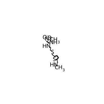 CNCc1ccc(CSCCN/C(=C/[N+](=O)[O-])NC)s1